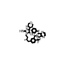 C[C@@H](CCN1C(=N)N[C@@](c2ccc(F)cc2)(C2CCOCC2)C1=O)Cc1ccc(C(F)(F)F)c(C(=O)N2Cc3nccnc3C2)c1